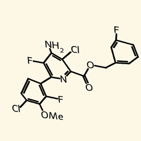 COc1c(Cl)ccc(-c2nc(C(=O)OCc3cccc(F)c3)c(Cl)c(N)c2F)c1F